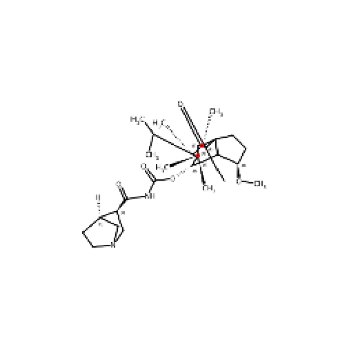 CO[C@@H]1CCC23CC[C@@H](C)[C@](C)(C12)[C@H](OC(=O)NC(=O)[C@H]1CN2CC[C@@H]1C2)C[C@@](C)(C(C)C)C(=O)[C@@H]3C